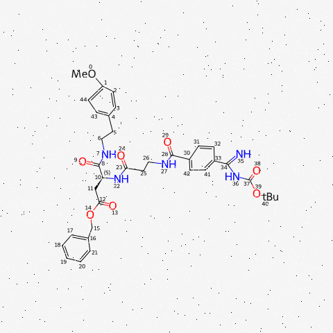 COc1ccc(CCNC(=O)[C@H](CC(=O)OCc2ccccc2)NC(=O)CCNC(=O)c2ccc(C(=N)NC(=O)OC(C)(C)C)cc2)cc1